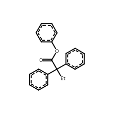 CCC(C(=O)Oc1ccccc1)(c1ccccc1)c1ccccc1